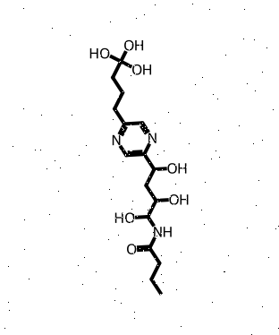 CCCC(=O)NC(O)C(O)CC(O)c1cnc(CCCC(O)(O)O)cn1